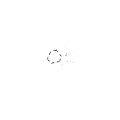 OC1(c2ccc(Cl)cc2)CCCC1CCl